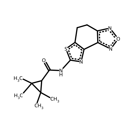 CC1(C)C(C(=O)Nc2nc3c(s2)CCc2nonc2-3)C1(C)C